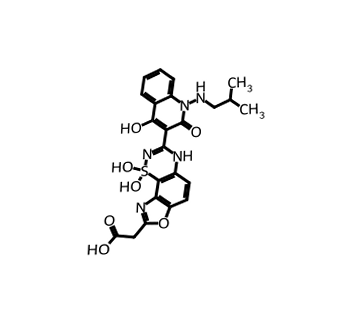 CC(C)CNn1c(=O)c(C2=NS(O)(O)c3c(ccc4oc(CC(=O)O)nc34)N2)c(O)c2ccccc21